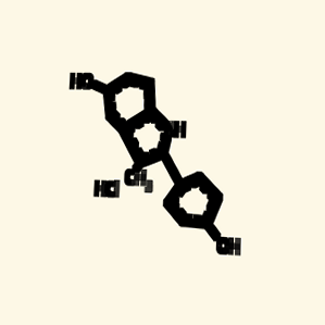 Cc1c(-c2ccc(O)cc2)[nH]c2ccc(O)cc12.Cl